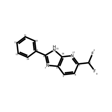 FC(F)c1ccc2nc(-c3ccccc3)[nH]c2n1